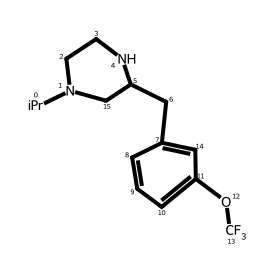 CC(C)N1CCNC(Cc2cccc(OC(F)(F)F)c2)C1